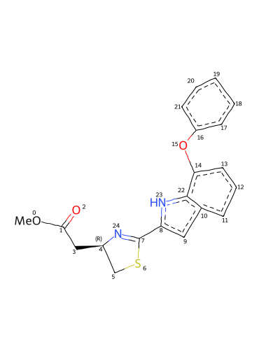 COC(=O)C[C@@H]1CSC(c2cc3cccc(Oc4ccccc4)c3[nH]2)=N1